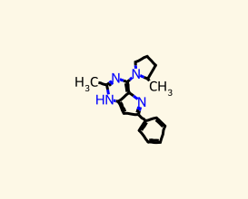 Cc1nc(N2CCCC2C)c2nc(-c3ccccc3)cc-2[nH]1